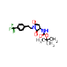 CC(C)(C)OC(=O)NC1CC(=O)N(CCc2ccc(C(F)(F)F)cc2)C1=O